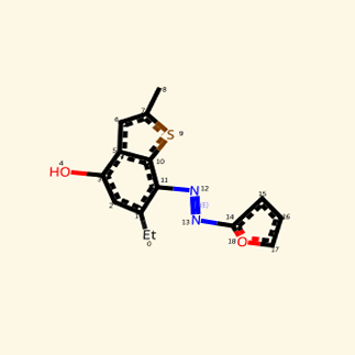 CCc1cc(O)c2cc(C)sc2c1/N=N/c1ccco1